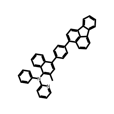 Cc1cc(-c2ccc(-c3ccc4c5c(cccc35)-c3ccccc3-4)cc2)c2ccccc2c1N(c1ccccc1)c1ccccn1